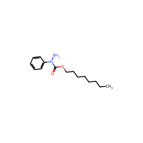 CCCCCCCCOC(=O)N(N)c1ccccc1